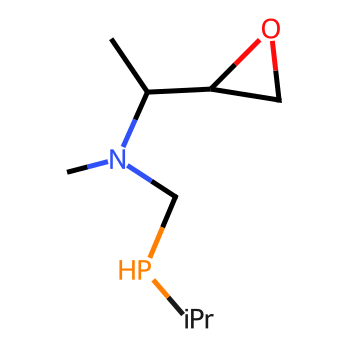 CC(C)PCN(C)C(C)C1CO1